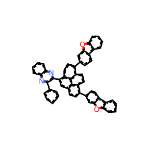 c1ccc(-c2nc3ccccc3nc2-c2cc3ccc(-c4ccc5c(c4)oc4ccccc45)c4ccc5c(-c6ccc7c(c6)oc6ccccc67)ccc2c5c34)cc1